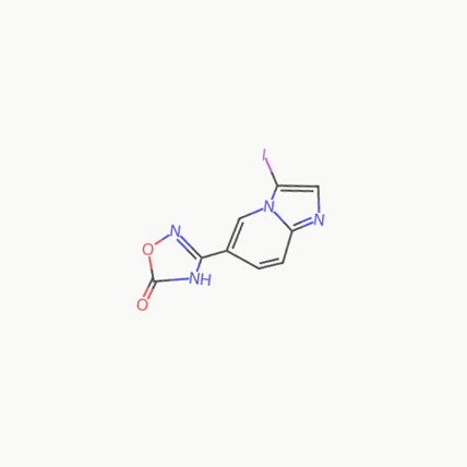 O=c1[nH]c(-c2ccc3ncc(I)n3c2)no1